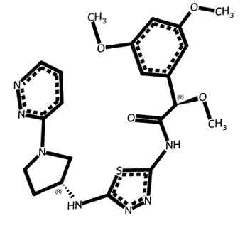 COc1cc(OC)cc([C@@H](OC)C(=O)Nc2nnc(N[C@@H]3CCN(c4cccnn4)C3)s2)c1